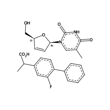 CC(C(=O)O)c1ccc(-c2ccccc2)c(F)c1.Cc1cn([C@H]2C=C[C@@H](CO)O2)c(=O)[nH]c1=O